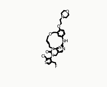 O=C1N2C/C=C/COCc3cc(ccc3OCCN3CCOCC3)Nc3ncc(c2n3)CN1c1c(CF)csc1Cl